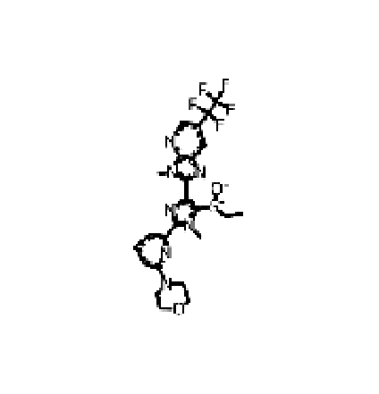 CC[S+]([O-])c1c(-c2nc3cc(C(F)(F)C(F)(F)F)cnc3n2C)nc(-c2cccc(N3CCOCC3)n2)n1C